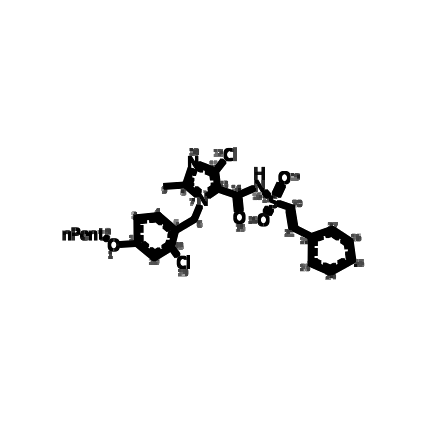 CCCCCOc1ccc(Cn2c(C)nc(Cl)c2C(=O)NS(=O)(=O)C=Cc2ccccc2)c(Cl)c1